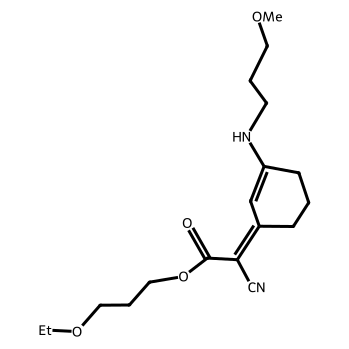 CCOCCCOC(=O)/C(C#N)=C1\C=C(NCCCOC)CCC1